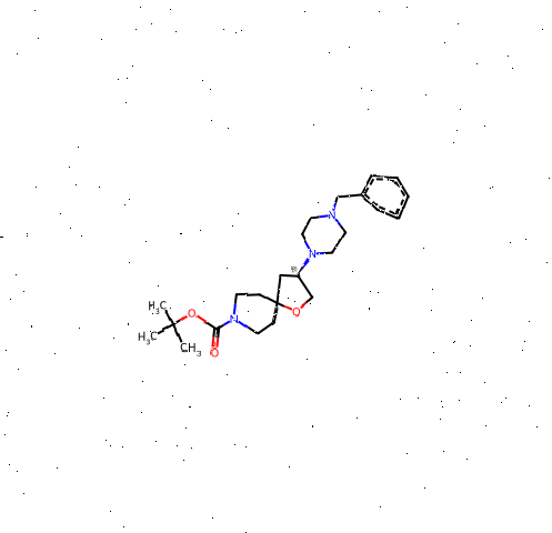 CC(C)(C)OC(=O)N1CCC2(CC1)C[C@@H](N1CCN(Cc3ccccc3)CC1)CO2